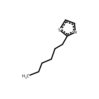 CCCCCCc1n[c]cs1